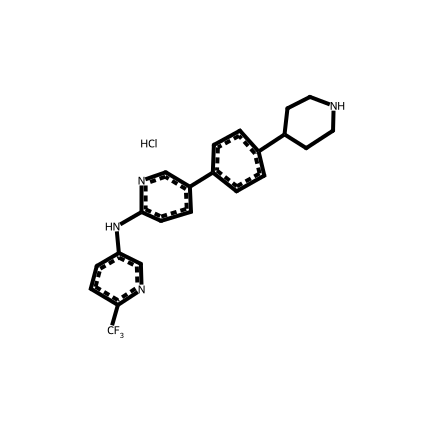 Cl.FC(F)(F)c1ccc(Nc2ccc(-c3ccc(C4CCNCC4)cc3)cn2)cn1